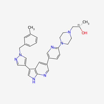 Cc1cccc(Cn2cc(-c3c[nH]c4ncc(-c5ccc(N6CCN(C[C@H](C)O)CC6)nc5)cc34)cn2)c1